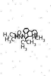 CCN(CC)C(=O)Nn1c(C(C)C)c2c3c(cccc31)C1=CCCN(C)[C@@H]1C2